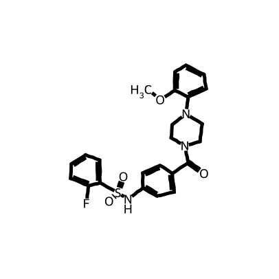 COc1ccccc1N1CCN(C(=O)c2ccc(NS(=O)(=O)c3ccccc3F)cc2)CC1